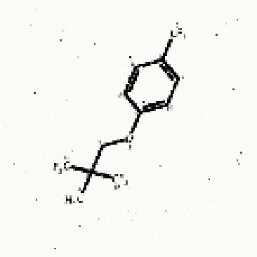 CC(COc1ccc(C(F)(F)F)cc1)(C(F)(F)F)C(F)(F)F